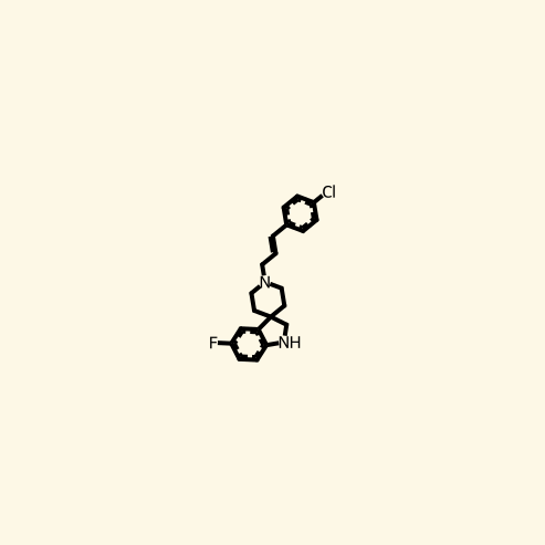 Fc1ccc2c(c1)C1(CCN(CC=Cc3ccc(Cl)cc3)CC1)CN2